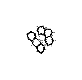 c1ccc2c(c1)Cc1ccccc1O2.c1ccc2c(c1)ccc1cccnc12